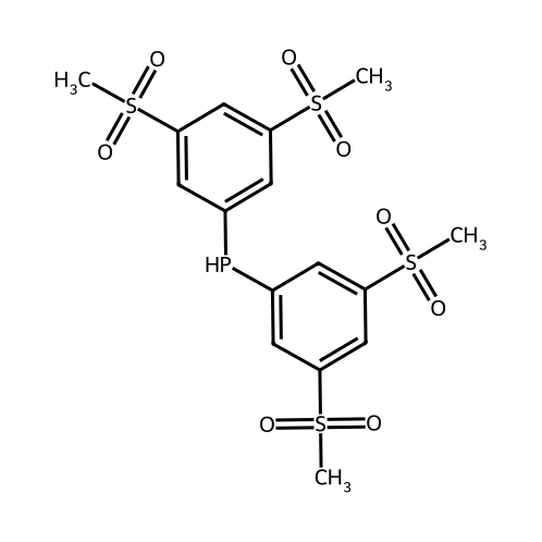 CS(=O)(=O)c1cc(Pc2cc(S(C)(=O)=O)cc(S(C)(=O)=O)c2)cc(S(C)(=O)=O)c1